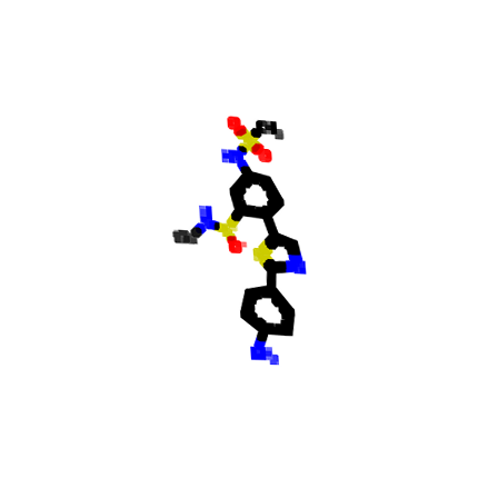 CC(C)(C)N[S+]([O-])c1cc(NS(C)(=O)=O)ccc1-c1cnc(-c2ccc(N)cc2)s1